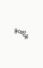 COC(=O)c1ccc2[nH]c(-c3ccc(C(F)(F)F)cc3)cc2c1